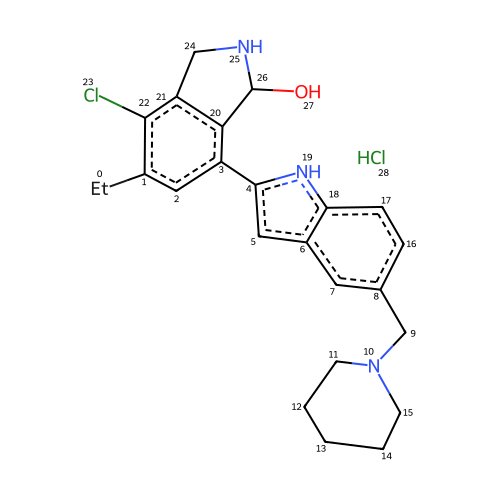 CCc1cc(-c2cc3cc(CN4CCCCC4)ccc3[nH]2)c2c(c1Cl)CNC2O.Cl